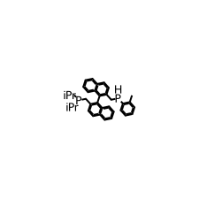 Cc1ccccc1PCc1ccc2ccccc2c1-c1c(CP(C(C)C)C(C)C)ccc2ccccc12